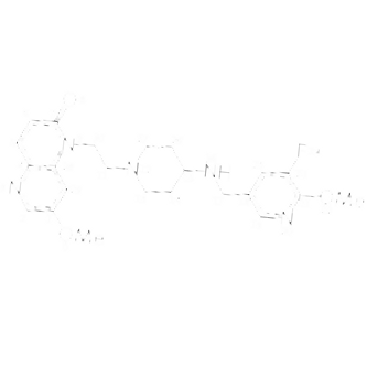 COc1cnc2ccc(=O)n(CCN3CCC(NCc4cnc(OC)c(F)c4)CC3)c2c1